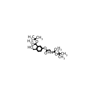 CC(C)(C)OC(=O)NCC(=O)Oc1ccc(CO)c(C(=O)OC(C)(C)C)c1